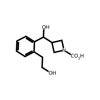 O=C(O)N1CC(C(O)c2ccccc2CCO)C1